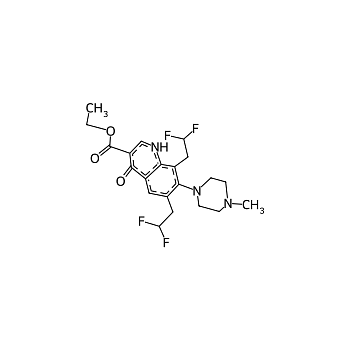 CCOC(=O)c1c[nH]c2c(CC(F)F)c(N3CCN(C)CC3)c(CC(F)F)cc2c1=O